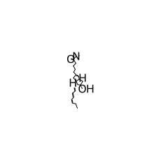 CC\C=C/C=C/C=C/[C@@H]1[C@H]2CC(CCCCC(=O)N(C)C)=C[C@H]2C[C@H]1O